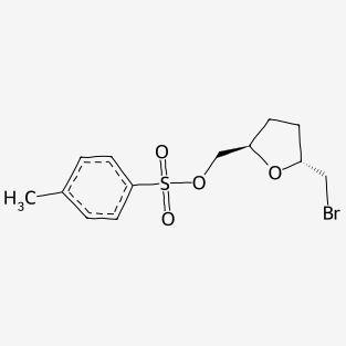 Cc1ccc(S(=O)(=O)OC[C@H]2CC[C@H](CBr)O2)cc1